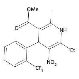 CCC1=C([N+](=O)[O-])C(c2ccccc2C(F)(F)F)C(C(=O)OC)=C(C)N1